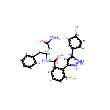 NC(=O)C[C@@H](Cc1ccccc1)NC(=O)c1cccc(F)c1-c1cc(-c2ccc(F)cc2)[nH]n1